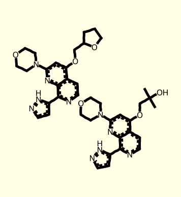 CC(C)(O)COc1cc(N2CCOCC2)nc2c(-c3ccn[nH]3)nccc12.c1cc(-c2nccc3c(OCC4CCCO4)cc(N4CCOCC4)nc23)[nH]n1